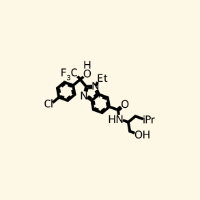 CCn1c(C(O)(c2ccc(Cl)cc2)C(F)(F)F)nc2ccc(C(=O)NC(CO)CC(C)C)cc21